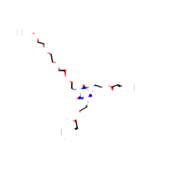 C=CC(=O)OCCn1c(=O)n(CCOC(=O)C=C)c(=O)n(CCOC(=O)COCCOCCOC)c1=O